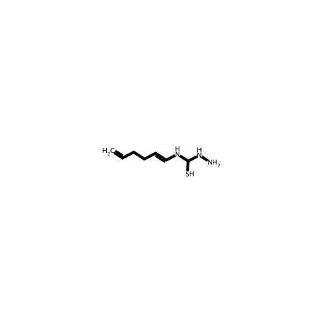 C=CCC/C=C/NC(S)NN